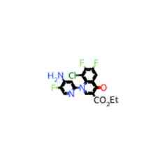 CCOC(=O)c1cn(-c2cc(N)c(F)cn2)c2c(Cl)c(F)c(F)cc2c1=O